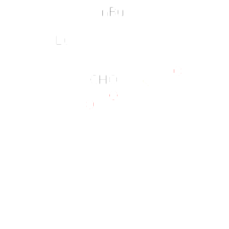 CCCCC(C=O)(CC)CS(=O)(=O)c1ccccc1C(=O)c1ccccc1